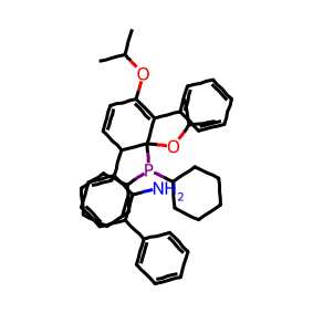 CC(C)OC1=C(c2ccccc2)C(OC(C)C)(P(C2CCCCC2)C2CCCCC2)C(c2cccc(-c3ccccc3)c2N)C=C1